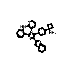 NC1(c2ccc(-c3c(-c4cc5ccccc5s4)nc4n3-c3cccnc3Nc3ccccc3-4)cc2)CCC1